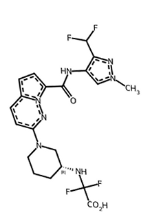 Cn1cc(NC(=O)c2ccc3ccc(N4CCC[C@@H](NC(F)(F)C(=O)O)C4)nn23)c(C(F)F)n1